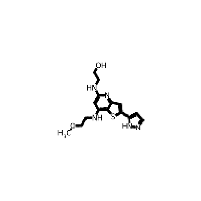 COCCNc1cc(NCCO)nc2cc(-c3ccn[nH]3)sc12